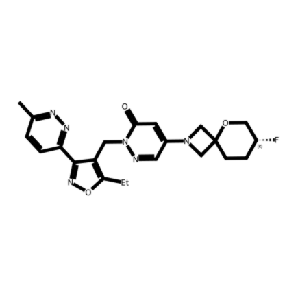 CCc1onc(-c2ccc(C)nn2)c1Cn1ncc(N2CC3(CC[C@@H](F)CO3)C2)cc1=O